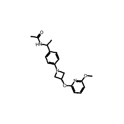 COc1cccc(OC2CN(c3ccc(C(C)NC(C)=O)cc3)C2)n1